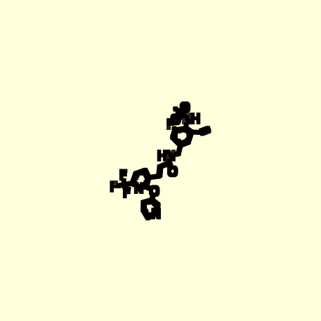 C#Cc1cc(CNC(=O)C=Cc2ccc(C(F)(F)F)nc2Oc2cccnc2)cc(F)c1NS(C)(=O)=O